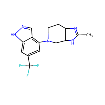 CC1=NC2CCN(c3cc(C(F)(F)F)cc4[nH]ncc34)CC2N1